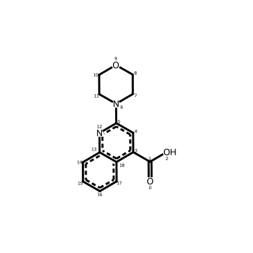 O=C(O)c1cc(N2CCOCC2)nc2ccccc12